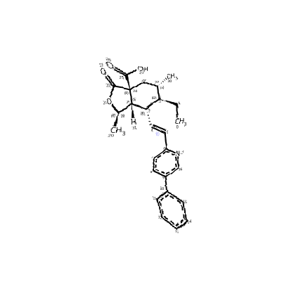 CC[C@H]1[C@H](/C=C/c2ccc(-c3ccccc3)cn2)[C@@H]2[C@@H](C)OC(=O)[C@]2(C(=O)O)C[C@@H]1C